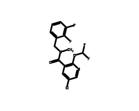 CN(Cc1cccc(F)c1F)C(=O)c1cc(Cl)cnc1OC(F)F